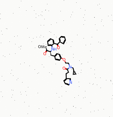 COC(=O)[C@H](Cc1ccc(OCCN(CC2CC2)C(=O)CCc2cccnc2)cc1)Nc1ccccc1C(=O)c1ccccc1